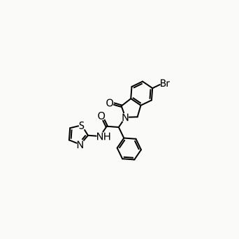 O=C(Nc1nccs1)C(c1ccccc1)N1Cc2cc(Br)ccc2C1=O